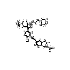 CS(=O)(=O)N1CCc2c(c(-c3ccc(Cl)c(C#Cc4ccc5c(c4)CCN(C4CC4)C5)c3)nn2CCCN2CCOCC2)C1